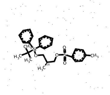 Cc1ccc(S(=O)(=O)OC[C@@H](C)CO[Si](c2ccccc2)(c2ccccc2)C(C)(C)C)cc1